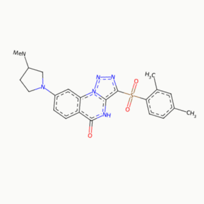 CNC1CCN(c2ccc3c(=O)[nH]c4c(S(=O)(=O)c5ccc(C)cc5C)nnn4c3c2)C1